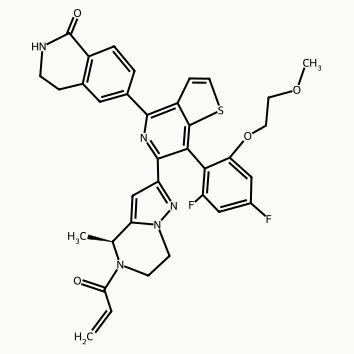 C=CC(=O)N1CCn2nc(-c3nc(-c4ccc5c(c4)CCNC5=O)c4ccsc4c3-c3c(F)cc(F)cc3OCCOC)cc2[C@@H]1C